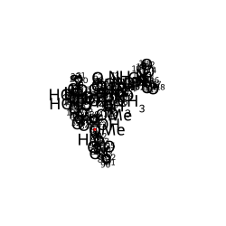 COc1cc([C@@H]2c3cc4c(cc3[C@@H](O[C@@H]3O[C@@H]5COC(c6cccs6)O[C@H]5[C@H](O)[C@H]3O)[C@H]3COC(=O)[C@H]23)OCO4)cc(OC)c1O.C[C@]12C=CC(=O)C=C1CC[C@@H]1[C@@H]2CC[C@]2(C)OC(=O)CC[C@@H]12.Cn1nnc2c(C(N)=O)ncn2c1=O.O=C1CCC(N2C(=O)c3ccccc3C2=O)C(=O)N1.O=c1n(C[C@H]2CO2)c(=O)n(C[C@@H]2CO2)c(=O)n1C[C@H]1CO1